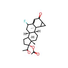 CC(=O)O[C@@]1(C(C)=O)CC[C@H]2[C@@H]3CC(F)C4=CC(=O)C5CC5[C@@]4(C)[C@@H]3CC[C@@]21C